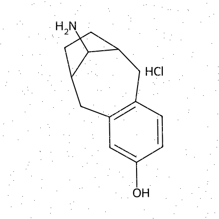 Cl.NC1C2CCC1Cc1cc(O)ccc1C2